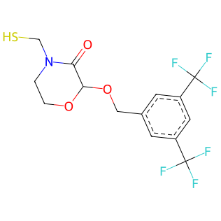 O=C1C(OCc2cc(C(F)(F)F)cc(C(F)(F)F)c2)OCCN1CS